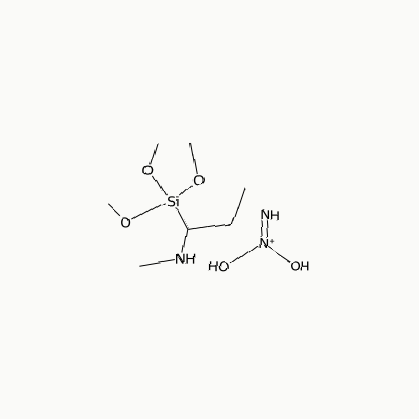 CCC(NC)[Si](OC)(OC)OC.N=[N+](O)O